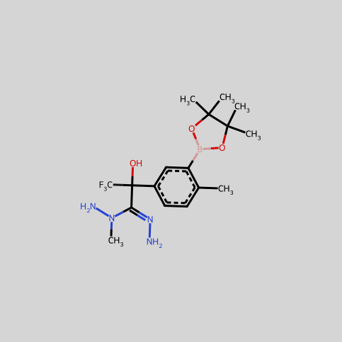 Cc1ccc(C(O)(/C(=N/N)N(C)N)C(F)(F)F)cc1B1OC(C)(C)C(C)(C)O1